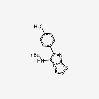 CCCCNc1c(-c2ccc(C)cc2)nc2sccn12